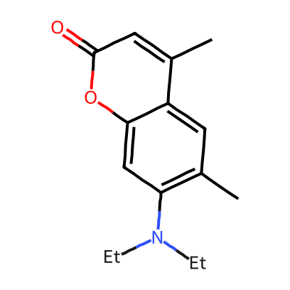 CCN(CC)c1cc2oc(=O)cc(C)c2cc1C